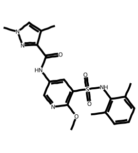 COc1ncc(NC(=O)c2nn(C)cc2C)cc1S(=O)(=O)Nc1c(C)cccc1C